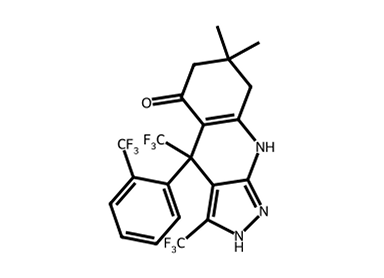 CC1(C)CC(=O)C2=C(C1)Nc1n[nH]c(C(F)(F)F)c1C2(c1ccccc1C(F)(F)F)C(F)(F)F